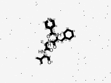 CC(C)[C@@H](C=O)NC(=O)[C@H](C)NC(=O)[C@H](CC1CCCCC1)NC(=O)c1ccncc1